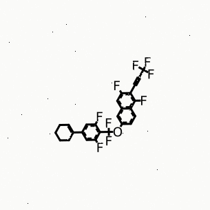 Fc1cc2cc(OC(F)(F)c3c(F)cc(C4=CCCCC4)cc3F)ccc2c(F)c1C#CC(F)(F)F